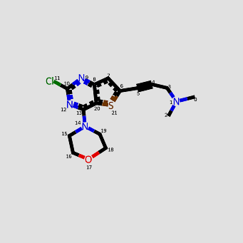 CN(C)CC#Cc1cc2nc(Cl)nc(N3CCOCC3)c2s1